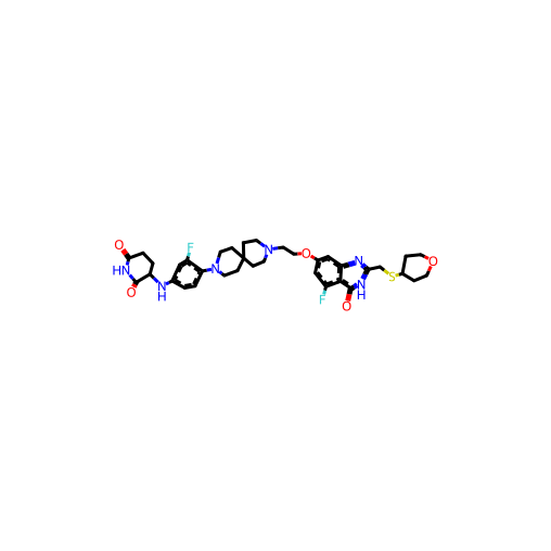 O=C1CCC(Nc2ccc(N3CCC4(CCN(CCOc5cc(F)c6c(=O)[nH]c(CSC7CCOCC7)nc6c5)CC4)CC3)c(F)c2)C(=O)N1